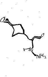 NNC(=O)C1CC(=O)C1